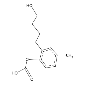 Cc1ccc(OC(=O)O)c(CCCCO)c1